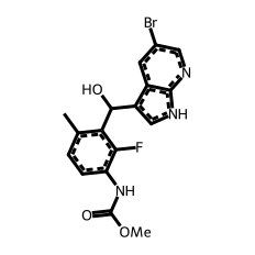 COC(=O)Nc1ccc(C)c(C(O)c2c[nH]c3ncc(Br)cc23)c1F